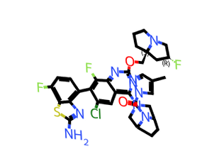 Cc1cnn(C(=O)N2C3CCC2CN(c2nc(OC[C@@]45CCCN4C[C@H](F)C5)nc4c(F)c(-c5ccc(F)c6sc(N)nc56)c(Cl)cc24)C3)c1